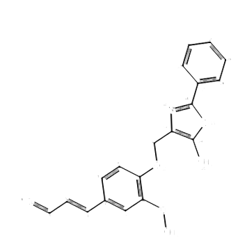 COc1cc(C=CC=O)ccc1OCc1nc(-c2ccccc2)oc1C